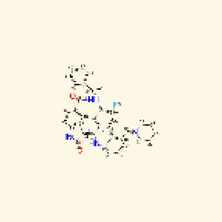 C[C@@H](NC(=O)c1ccc2c(c1)/C(=C(/Nc1cccc(CN3CCCCC3)c1)c1ccc(F)cc1)C(=O)N2)c1ccccc1